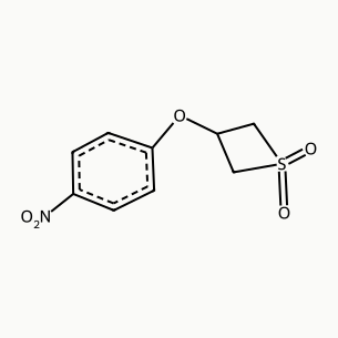 O=[N+]([O-])c1ccc(OC2CS(=O)(=O)C2)cc1